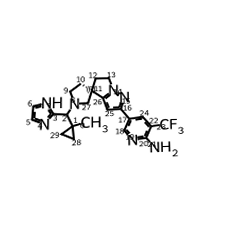 CC1(C(c2ncc[nH]2)N2CC[C@@]3(CCn4nc(-c5cnc(N)c(C(F)(F)F)c5)cc43)C2)CC1